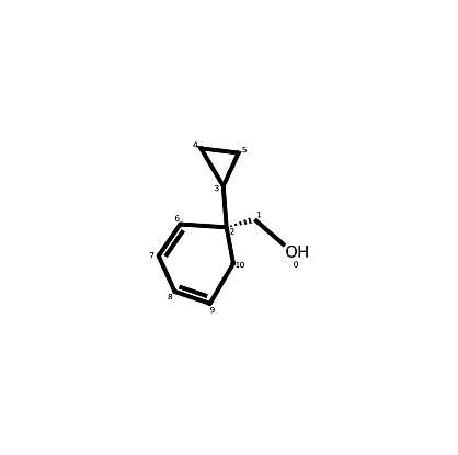 OC[C@@]1(C2CC2)C=CC=CC1